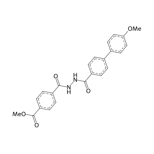 COC(=O)c1ccc(C(=O)NNC(=O)c2ccc(-c3ccc(OC)cc3)cc2)cc1